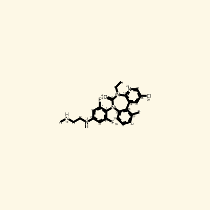 CCN1C(=O)N(c2c(F)cc(NCCNC)cc2F)c2cccc(C)c2-c2cc(Cl)cnc21